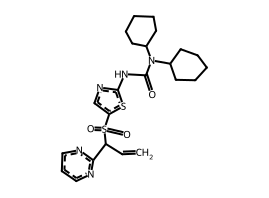 C=CC(c1ncccn1)S(=O)(=O)c1cnc(NC(=O)N(C2CCCCC2)C2CCCCC2)s1